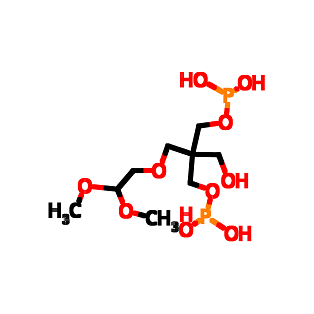 COC(COCC(CO)(COP(O)O)COP(O)O)OC